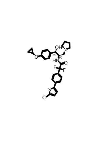 O=C(N[C@H](CN1CCCC1)[C@H](O)c1ccc(OC2CC2)cc1)C(F)(F)c1ccc(-c2ccc(Cl)s2)cc1